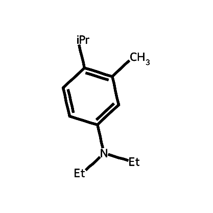 CCN(CC)c1ccc(C(C)C)c(C)c1